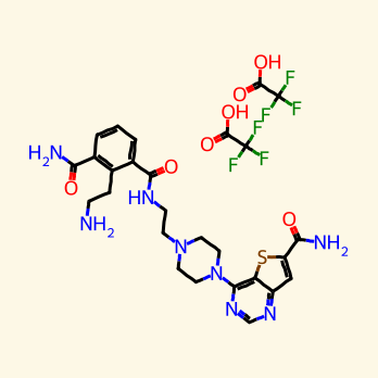 NCCc1c(C(N)=O)cccc1C(=O)NCCN1CCN(c2ncnc3cc(C(N)=O)sc23)CC1.O=C(O)C(F)(F)F.O=C(O)C(F)(F)F